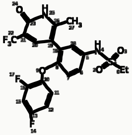 CCS(=O)(=O)Nc1ccc(Oc2ccc(F)cc2F)c(-c2cc(C(F)(F)F)c(=O)[nH]c2C)c1